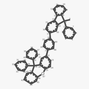 CC1(c2ccccc2)c2ccccc2-c2ccc(-c3ccc(-c4ccc5c(c4)C(c4ccccc4)(c4ccccc4)c4ccccc4O5)cc3)cc21